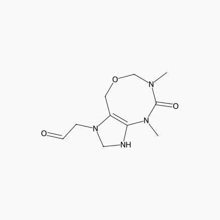 CN1COCC2=C(NCN2CC=O)N(C)C1=O